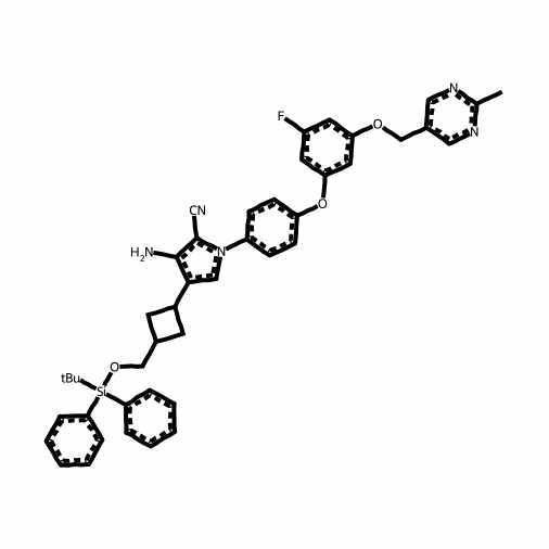 Cc1ncc(COc2cc(F)cc(Oc3ccc(-n4cc(C5CC(CO[Si](c6ccccc6)(c6ccccc6)C(C)(C)C)C5)c(N)c4C#N)cc3)c2)cn1